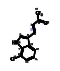 O=C(/C=C/c1c[nH]c2c(Cl)cccc12)C(F)(F)F